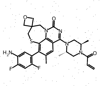 C=CC(=O)N1C[C@H](C)N(c2nc(=O)n3c4c(c(-c5cc(N)c(F)cc5F)c(C)cc24)SCC2(COC2)C3)C[C@H]1C